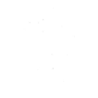 C=CC1=C(/C=C(\C)Cc2ccccc2OC)c2ccccc2C12c1ccccc1-c1ccccc12